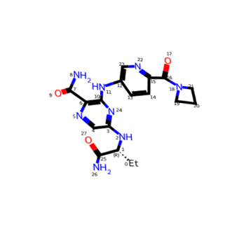 CC[C@@H](Nc1cnc(C(N)=O)c(Nc2ccc(C(=O)N3CCC3)nc2)n1)C(N)=O